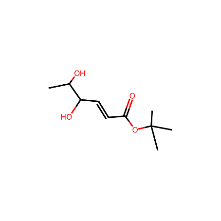 CC(O)C(O)C=CC(=O)OC(C)(C)C